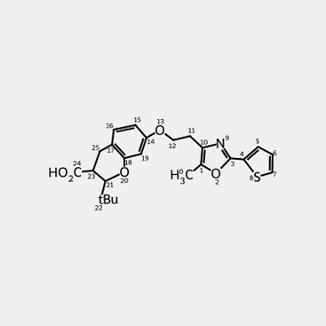 Cc1oc(-c2cccs2)nc1CCOc1ccc2c(c1)OC(C(C)(C)C)C(C(=O)O)C2